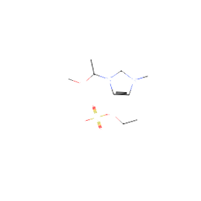 CCOS(=O)(=O)O.COC(C)N1C=CN(C)C1